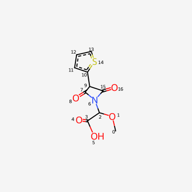 COC(C(=O)O)N1C(=O)C(c2cccs2)C1=O